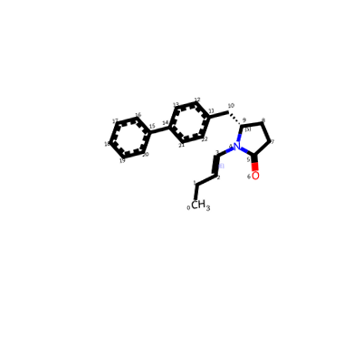 CC/C=C/N1C(=O)CC[C@H]1Cc1ccc(-c2ccccc2)cc1